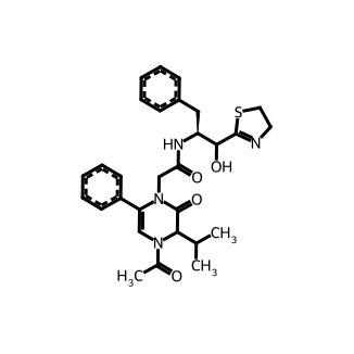 CC(=O)N1C=C(c2ccccc2)N(CC(=O)N[C@@H](Cc2ccccc2)C(O)C2=NCCS2)C(=O)C1C(C)C